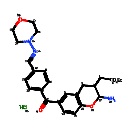 CCOC(=O)CC1Cc2cc(C(=O)c3ccc(C=NN4CCOCC4)cc3)ccc2OC1N.Cl